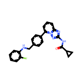 O=C(Nc1nc2cccc(-c3ccc(CNc4ccccc4F)cc3)n2n1)C1CC1